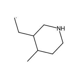 [CH2]CC1CNCCC1C